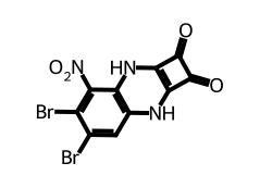 O=c1c2c(c1=O)Nc1c(cc(Br)c(Br)c1[N+](=O)[O-])N2